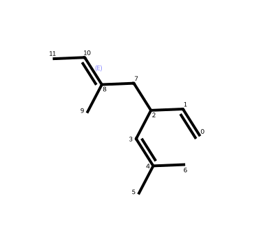 C=CC(C=C(C)C)C/C(C)=C/C